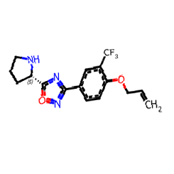 C=CCOc1ccc(-c2noc([C@@H]3CCCN3)n2)cc1C(F)(F)F